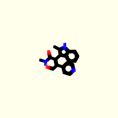 CNC(=O)/C(=C(\C=O)c1ccncc1)c1c(C)[nH]c2ccccc12